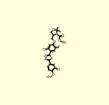 CCCOc1ccc(-c2nnc(-c3cc(F)c(OCC4COC(C)(C)N4C(=O)OC(C)(C)C)cc3Cl)s2)cc1Cl